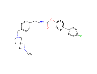 CN1CC2(CCN(Cc3ccc(CCNC(=O)Oc4ccc(-c5ccc(Cl)cc5)cc4)cc3)C2)C1